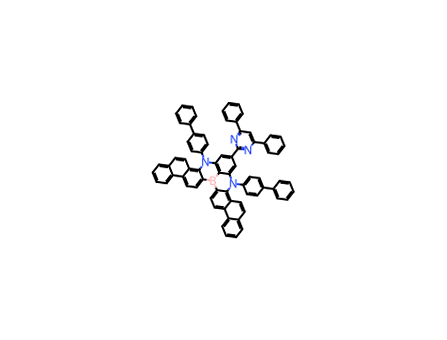 c1ccc(-c2ccc(N3c4cc(-c5nc(-c6ccccc6)cc(-c6ccccc6)n5)cc5c4B(c4ccc6c(ccc7ccccc76)c43)c3ccc4c(ccc6ccccc64)c3N5c3ccc(-c4ccccc4)cc3)cc2)cc1